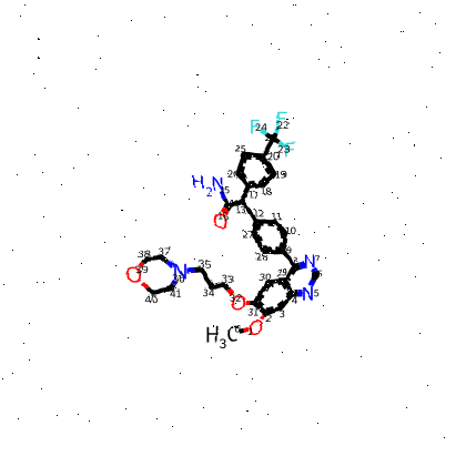 COc1cc2ncnc(-c3ccc(C(C(N)=O)c4ccc(C(F)(F)F)cc4)cc3)c2cc1OCCCN1CCOCC1